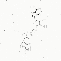 CO[C@H]1O[C@@H](n2cnc3c(N)ncnc32)[C@@H](O)[C@H]1OP(=O)(O)CO[C@H]1O[C@@H](n2cnc3c(N)ncnc32)[C@@H](O)[C@H]1O